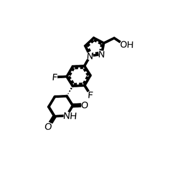 O=C1CC[C@H](c2c(F)cc(-n3ccc(CO)n3)cc2F)C(=O)N1